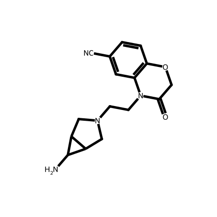 N#Cc1ccc2c(c1)N(CCN1CC3C(N)C3C1)C(=O)CO2